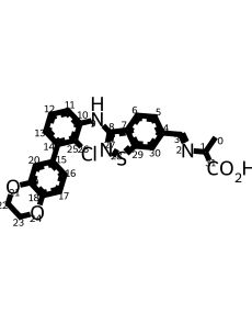 CC(N=Cc1ccc2c(Nc3cccc(-c4ccc5c(c4)OCCO5)c3Cl)nsc2c1)C(=O)O